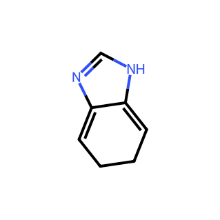 C1=c2nc[nH]c2=CCC1